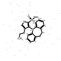 CCCc1csc(S(N)(=O)=O)c1N1c2ccccc2CCc2ccccc21